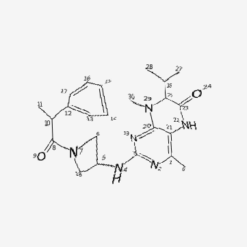 Cc1nc(NC2CN(C(=O)C(C)c3ccccc3)C2)nc2c1NC(=O)C(C(C)C)N2C